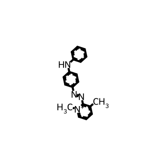 Cc1ccc[n+](C)c1/N=N/c1ccc(Nc2ccccc2)cc1